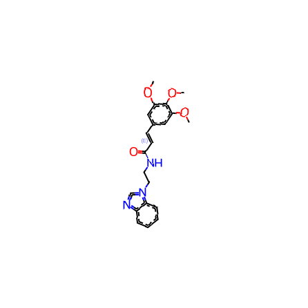 COc1cc(/C=C/C(=O)NCCn2cnc3ccccc32)cc(OC)c1OC